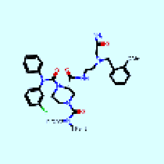 CCCCCN(CCCCC)C(=O)N1CCN(C(=O)N(c2ccccc2)c2cccc(Cl)c2)[C@H](C(=O)NCCN(CC(N)=O)Cc2ccccc2OC)C1